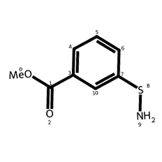 COC(=O)c1cccc(SN)c1